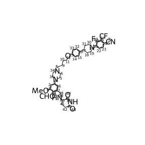 COc1cc(N2CCN(CCCCOc3ccc(C4CCN(c5ccc(C#N)c(C(F)(F)F)c5F)CC4)cc3)CC2)cc(CNC2CCC(=O)NC2=O)c1C=O